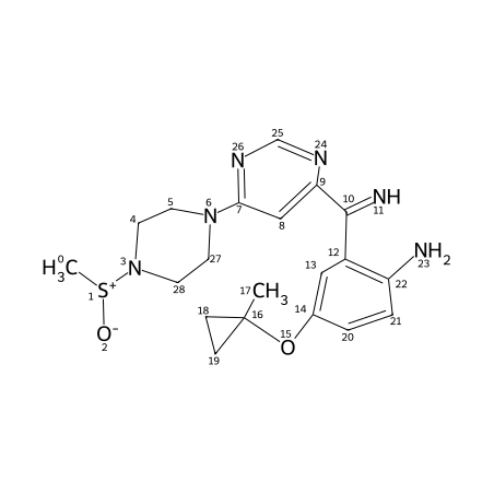 C[S+]([O-])N1CCN(c2cc(C(=N)c3cc(OC4(C)CC4)ccc3N)ncn2)CC1